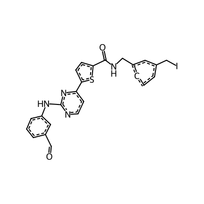 O=Cc1cccc(Nc2nccc(-c3ccc(C(=O)NCc4cccc(CI)c4)s3)n2)c1